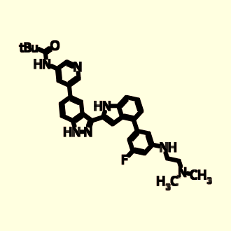 CN(C)CCNc1cc(F)cc(-c2cccc3[nH]c(-c4n[nH]c5ccc(-c6cncc(NC(=O)C(C)(C)C)c6)cc45)cc23)c1